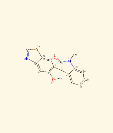 CN1C(=O)C2(COc3cc4ncsc4cc32)c2ccccc21